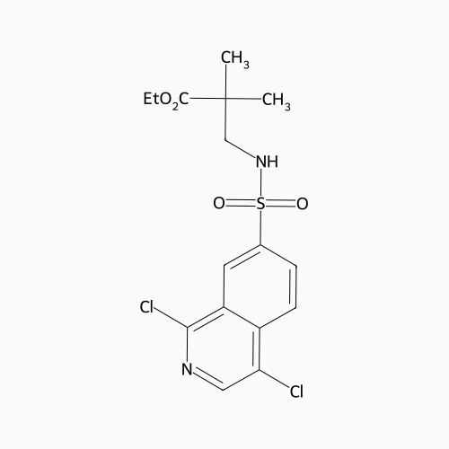 CCOC(=O)C(C)(C)CNS(=O)(=O)c1ccc2c(Cl)cnc(Cl)c2c1